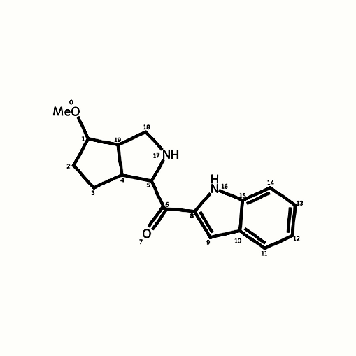 COC1CCC2C(C(=O)c3cc4ccccc4[nH]3)NCC12